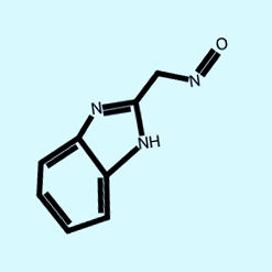 O=NCc1nc2ccccc2[nH]1